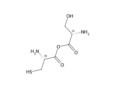 N[C@@H](CO)C(=O)OC(=O)[C@@H](N)CS